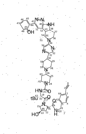 C#Cc1ccc([C@H](C)NC(=O)[C@@H]2C[C@@H](O)CN2C(=O)[C@@H](NC(=O)N2CCC(N3CCC(c4cnc(N5CCC6Nc7nnc(-c8ccccc8O)cc7C6[C@H]5C)cn4)CC3)CC2)C(C)(C)C)cc1